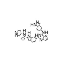 O=C(Nc1ccnnc1)c1cc2ccc(C3N=c4ccsc4=C(Nc4ccc5[nH]ncc5c4)N3)cc2[nH]1